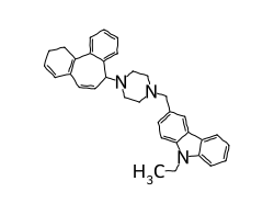 CCn1c2ccccc2c2cc(CN3CCN(C4C=CC5=C(CCC=C5)c5ccccc54)CC3)ccc21